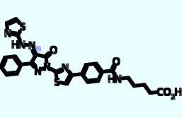 O=C(O)CCCCNC(=O)c1ccc(-c2csc(N3N=C(c4ccccc4)/C(=N\Nc4nccs4)C3=O)n2)cc1